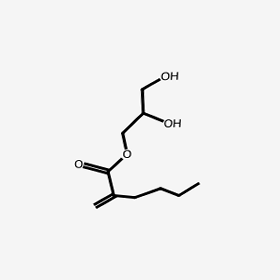 C=C(CCCC)C(=O)OCC(O)CO